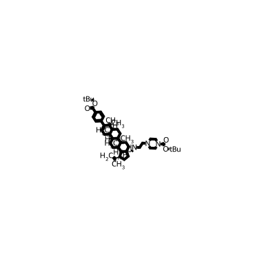 C=C(C)[C@@H]1CC[C@]2(CNCCN3CCN(C(=O)OC(C)(C)C)CC3)CC[C@]3(C)[C@H](CC[C@@H]4[C@@]5(C)CC=C(c6ccc(C(=O)OC(C)(C)C)cc6)C(C)(C)[C@@H]5CC[C@]43C)[C@@H]12